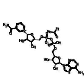 CCC(=O)CC.NC(=O)c1ccc[n+]([C@@H]2O[C@H](COP(=O)([O-])OP(=O)(O)OC[C@H]3O[C@@H](n4cnc5c(N)ncnc54)[C@H](O)[C@@H]3O)[C@@H](O)[C@H]2O)c1